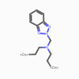 CCCCCCCCCCCCN(CCCCCCCCCCCC)Cn1nc2ccccc2n1